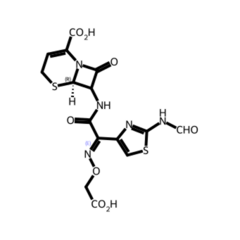 O=CNc1nc(/C(=N\OCC(=O)O)C(=O)NC2C(=O)N3C(C(=O)O)=CCS[C@H]23)cs1